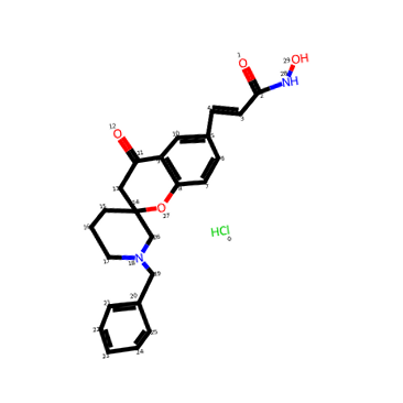 Cl.O=C(C=Cc1ccc2c(c1)C(=O)CC1(CCCN(Cc3ccccc3)C1)O2)NO